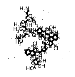 CC(=O)N[C@@H](CCCCN)C(=O)N[C@H](C(=O)N[C@@H](CCCNC(N)=O)C(=O)Nc1ccc(CC(C(c2cc3c(c4ccccc24)[C@H](CCl)CN3C(=O)c2ccc(C(=O)N3C[C@@H](CCl)c4c3cc(O[C@@H]3O[C@H](CO)[C@H](O)[C@H](O)[C@H]3O)c3ccccc43)s2)N(C)C(=O)O)N(C)C(=O)O)cc1)C(C)C